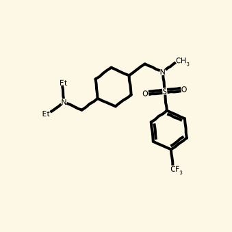 CCN(CC)CC1CCC(CN(C)S(=O)(=O)c2ccc(C(F)(F)F)cc2)CC1